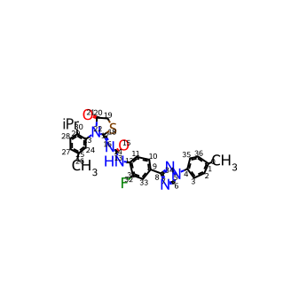 Cc1ccc(-n2cnc(-c3ccc(NC(=O)N=C4SCC(=O)N4c4cc(C)ccc4C(C)C)c(F)c3)n2)cc1